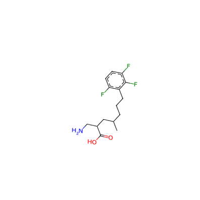 CC(CCCc1c(F)ccc(F)c1F)CC(CN)C(=O)O